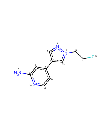 Nc1cc(-c2cnn(CCF)c2)ccn1